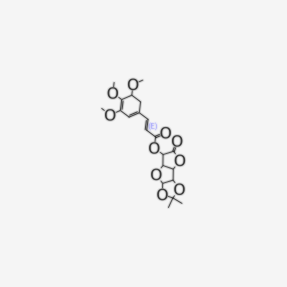 COC1=C(OC)C(OC)CC(/C=C/C(=O)OC2C(=O)OC3C4OC(C)(C)OC4OC23)=C1